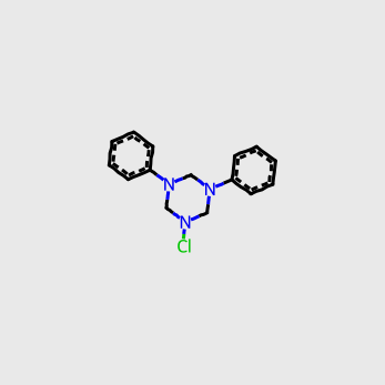 ClN1CN(c2ccccc2)CN(c2ccccc2)C1